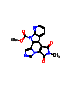 CN1C(=O)c2c(n3cncc3c3c2c2cccnc2n3C(=O)OC(C)(C)C)C1=O